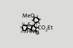 CCOC(=O)c1c(-c2cccc(OC)c2)c2sc3ccccc3c2[nH]c1=O